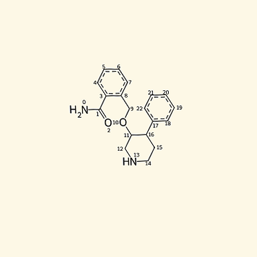 NC(=O)c1ccccc1COC1CNCCC1c1ccccc1